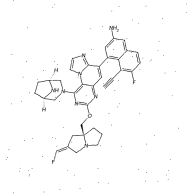 C#Cc1c(F)ccc2cc(N)cc(-c3cc4nc(OC[C@@]56CCCN5C/C(=C\F)C6)nc(N5C[C@H]6CC[C@@H](C5)N6)c4n4ccnc34)c12